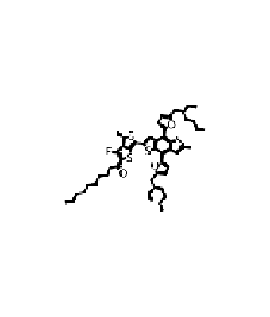 CCCCCCCCCC(=O)c1sc2c(-c3cc4c(-c5ccc(CC(CC)CCCC)o5)c5sc(C)cc5c(-c5ccc(CC(CC)CCCC)o5)c4s3)sc(C)c2c1F